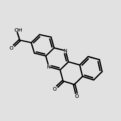 O=C(O)c1ccc2nc3c(nc2c1)C(=O)C(=O)c1ccccc1-3